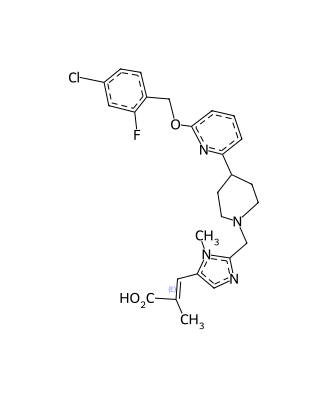 C/C(=C\c1cnc(CN2CCC(c3cccc(OCc4ccc(Cl)cc4F)n3)CC2)n1C)C(=O)O